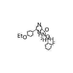 [2H]C([2H])(ONC(=O)c1cncc(-c2ccc(OCC)cc2)n1)c1ccccc1F